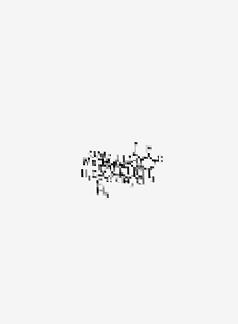 COC(OC)C(=O)[C@@]12OC(C)(C)O[C@@H]1C[C@H]1[C@@H]3C[C@H](F)C4=C(F)C(=O)C=C[C@]4(C)[C@@]3(Cl)[C@@H](Cl)C[C@@]12C